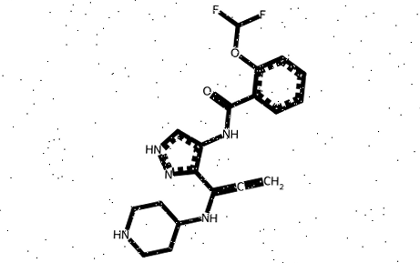 C=C=C(NC1CCNCC1)c1n[nH]cc1NC(=O)c1ccccc1OC(F)F